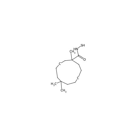 CC1(C)CCCCCC(C)(C(=O)NS)CCCC1